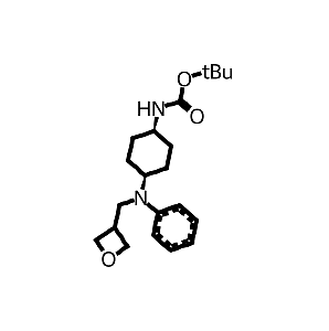 CC(C)(C)OC(=O)N[C@H]1CC[C@@H](N(CC2COC2)c2ccccc2)CC1